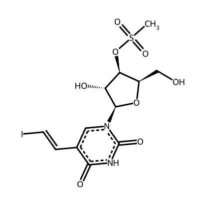 CS(=O)(=O)O[C@@H]1[C@@H](O)[C@H](n2cc(/C=C/I)c(=O)[nH]c2=O)O[C@@H]1CO